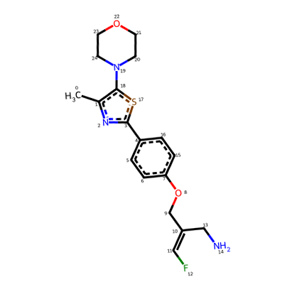 Cc1nc(-c2ccc(OC/C(=C/F)CN)cc2)sc1N1CCOCC1